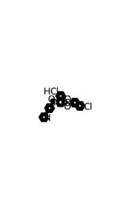 Cl.O=C(c1ccc(-c2ccccn2)cc1)N1CCN(S(=O)(=O)c2ccc3cc(Cl)ccc3c2)c2ccccc21